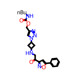 CCCCNC(=O)OCc1cn(C2CC(NCC(=O)c3cc(-c4ccccc4)on3)C2)nn1